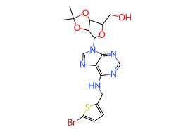 CC1(C)OC2C(CO)OC(n3cnc4c(NCc5ccc(Br)s5)ncnc43)C2O1